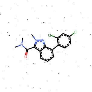 CN(C)C(=O)c1c2cccc(-c3ccc(Cl)cc3Cl)c2nn1C